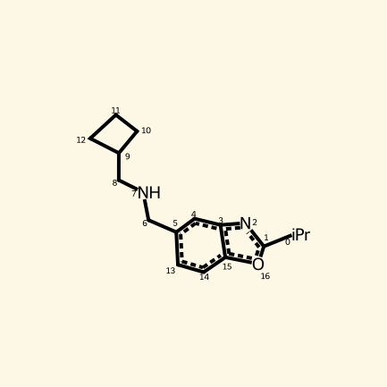 CC(C)c1nc2cc(CNCC3CCC3)ccc2o1